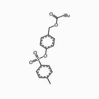 CCC(C)C(=O)OCc1ccc(OS(=O)(=O)c2ccc(C)cc2)cc1